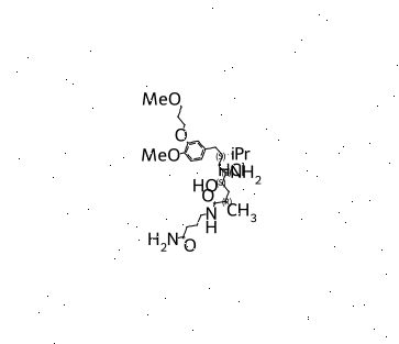 COCCCOc1cc(C[C@@H](C[C@H](N)[C@@H](O)C[C@@H](C)C(=O)NCCCC(N)=O)C(C)C)ccc1OC.Cl